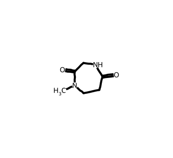 CN1CCC(=O)NCC1=O